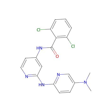 CN(C)c1ccc(Nc2cc(NC(=O)c3c(Cl)cccc3Cl)ccn2)nc1